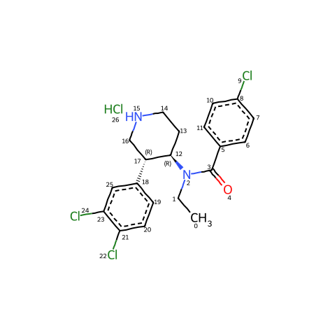 CCN(C(=O)c1ccc(Cl)cc1)[C@@H]1CCNC[C@H]1c1ccc(Cl)c(Cl)c1.Cl